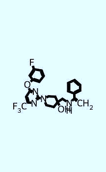 C=C(NCC1(O)CCN(c2nc(Oc3cccc(F)c3)cc(C(F)(F)F)n2)CC1)c1ccccc1